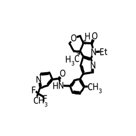 CCN1C(=O)[C@@H]2COCC[C@@]2(C)c2cc(-c3cc(NC(=O)c4ccnc(C(C)(F)F)c4)ccc3C)cnc21